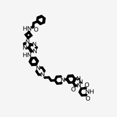 O=C1CC[C@H](n2nnc3ccc(N4CCC(CCCN5CCN(c6ccc(Nc7ncnc8c7ncn8C7CC(NC(=O)Cc8ccccc8)C7)cc6)CC5)CC4)cc3c2=O)C(=O)N1